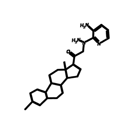 CC1CCC2C(CCC3C2CCC2(C)C(C(=O)CN(N)c4ncccc4N)CCC32)C1